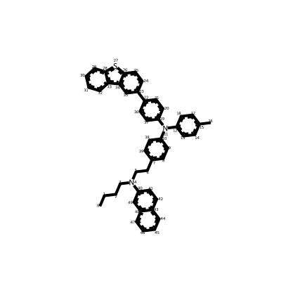 CCCCN(CCc1ccc(N(c2ccc(C)cc2)c2ccc(-c3ccc4sc5ccccc5c4c3)cc2)cc1)c1ccc2ccccc2c1